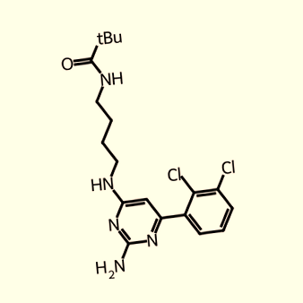 CC(C)(C)C(=O)NCCCCNc1cc(-c2cccc(Cl)c2Cl)nc(N)n1